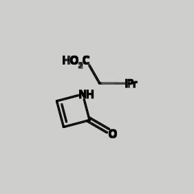 CC(C)CC(=O)O.O=C1C=CN1